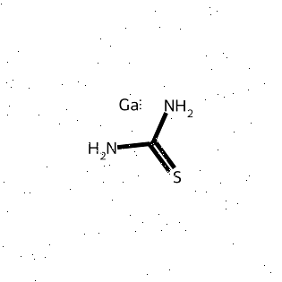 NC(N)=S.[Ga]